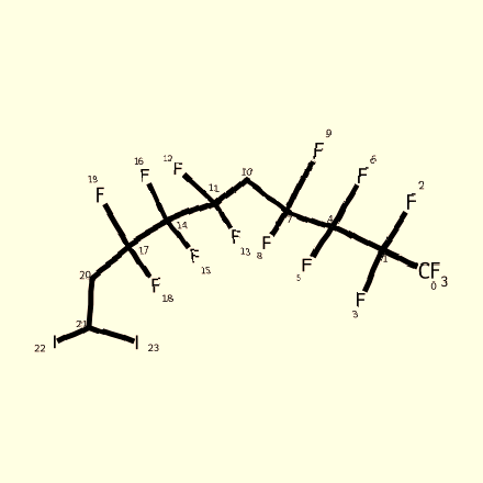 FC(F)(F)C(F)(F)C(F)(F)C(F)(F)CC(F)(F)C(F)(F)C(F)(F)CC(I)I